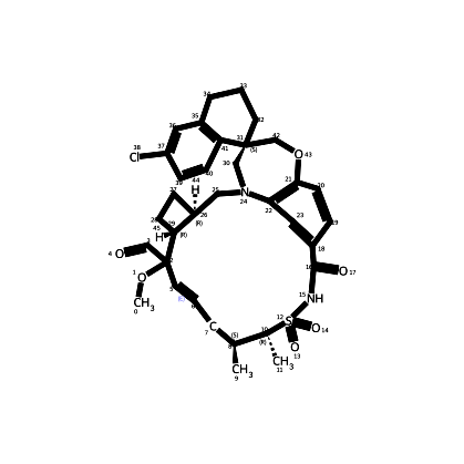 COC1(C=O)/C=C/C[C@H](C)[C@@H](C)S(=O)(=O)NC(=O)c2ccc3c(c2)N(C[C@@H]2CC[C@H]21)C[C@@]1(CCCc2cc(Cl)ccc21)CO3